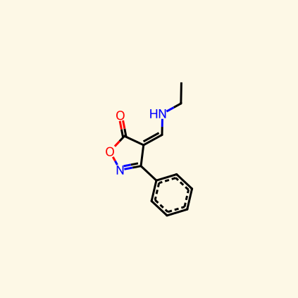 CCNC=C1C(=O)ON=C1c1ccccc1